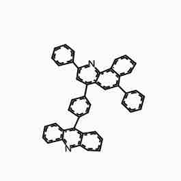 c1ccc(-c2cc(-c3ccc(-c4c5ccccc5nc5ccccc45)cc3)c3cc(-c4ccccc4)c4ccccc4c3n2)cc1